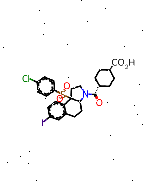 O=C(O)[C@H]1CC[C@H](C(=O)N2CCC3(S(=O)(=O)c4ccc(Cl)cc4)c4ccc(I)cc4CCC23)CC1